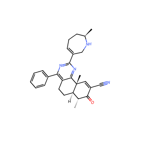 C[C@@H]1CCC=C(c2nc(-c3ccccc3)c3c(n2)[C@]2(C)C=C(C#N)C(=O)[C@H](C)[C@H]2CC3)CN1